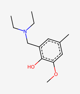 CCN(CC)Cc1cc(C)cc(OC)c1O